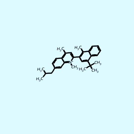 Cc1c(-c2cc(C)c3ccc(CC(C)C)cc3[n+]2C)cc(C(C)(C)C)c2ccccc12